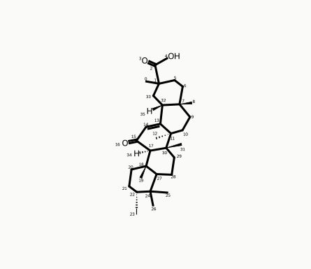 CC1(C(=O)O)CC[C@]2(C)CC[C@]3(C)C(=CC(=O)[C@@H]4[C@@]5(C)CC[C@@H](I)C(C)(C)C5CC[C@]43C)[C@@H]2C1